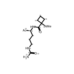 CNC1(C(=O)N[C@@H](CCCNC(N)=O)C(C)=O)CCC1